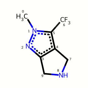 Cn1nc2c(c1C(F)(F)F)CNC2